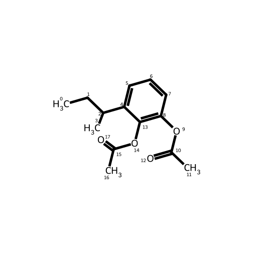 CCC(C)c1cccc(OC(C)=O)c1OC(C)=O